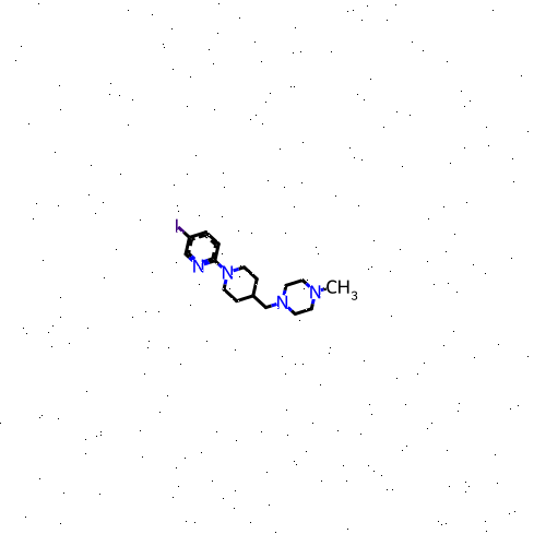 CN1CCN(CC2CCN(c3ccc(I)cn3)CC2)CC1